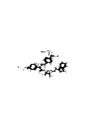 CC(C)C(NC(=O)C(NCc1ccc(C(=N)N)cc1)c1ccc(C(=O)O)cc1)C(=O)NCCc1c[nH]c2ccccc12.Cl